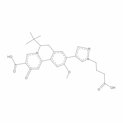 COc1cc2c(cc1-c1cnn(CCCC(=O)O)c1)CC(C(C)(C)C)n1cc(C(=O)O)c(=O)cc1-2